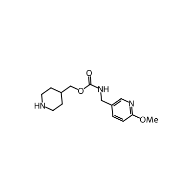 COc1ccc(CNC(=O)OCC2CCNCC2)cn1